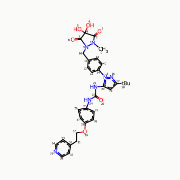 CN1C(=O)C(O)(O)C(=O)N1Cc1ccc(-n2nc(C(C)(C)C)cc2NC(=O)Nc2ccc(OCCc3ccncc3)cc2)cc1